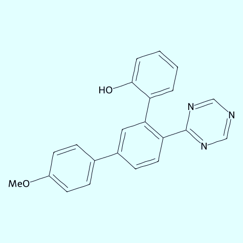 COc1ccc(-c2ccc(-c3ncncn3)c(-c3ccccc3O)c2)cc1